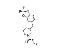 CC(C)(C)OC(=O)N1CCCC(Cc2ccc3c(c2)OC(F)(F)O3)C1